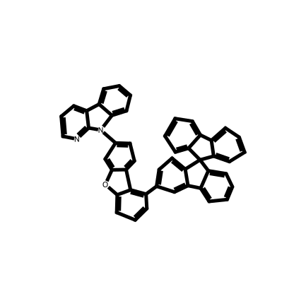 c1ccc2c(c1)-c1ccccc1C21c2ccccc2-c2cc(-c3cccc4oc5cc(-n6c7ccccc7c7cccnc76)ccc5c34)ccc21